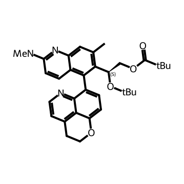 CNc1ccc2c(-c3ccc4c5c(ccnc35)CCO4)c([C@@H](COC(=O)C(C)(C)C)OC(C)(C)C)c(C)cc2n1